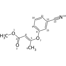 COC(=O)C=C(C)Oc1cccc(C#N)c1